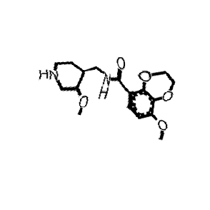 COc1ccc(C(=O)NC[C@@H]2CCNCC2OC)c2c1OCCO2